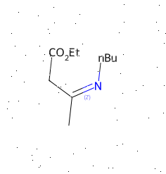 CCCC/N=C(/C)CC(=O)OCC